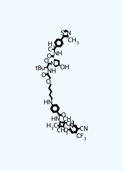 Cc1ncsc1-c1ccc([C@H](C)NC(=O)[C@@H]2C[C@@H](O)CN2C(=O)[C@@H](NC(=O)COCCCCCNc2ccc(C(=O)N[C@H]3C(C)(C)[C@H](Oc4cc(C(F)(F)F)c(C#N)cn4)C3(C)C)cc2)C(C)(C)C)cc1